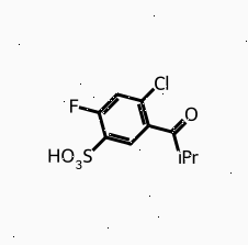 CC(C)C(=O)c1cc(S(=O)(=O)O)c(F)cc1Cl